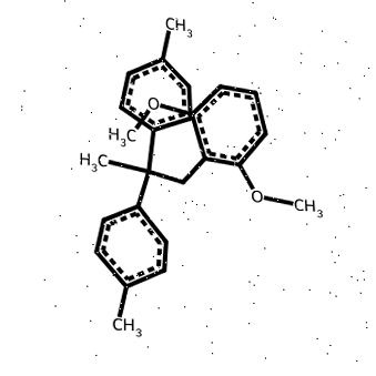 COc1c[c]cc(OC)c1CC(C)(c1ccc(C)cc1)c1ccc(C)cc1